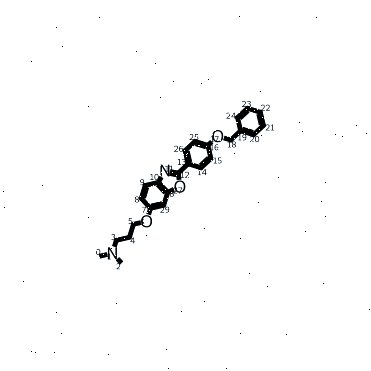 CN(C)CCCOc1ccc2nc(-c3ccc(OCc4ccccc4)cc3)oc2c1